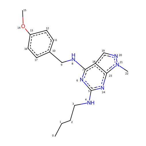 CCCCNc1nc(NCc2ccc(OC)cc2)c2cnn(C)c2n1